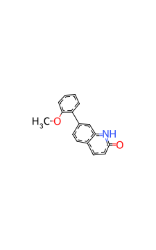 COc1ccccc1-c1ccc2ccc(=O)[nH]c2c1